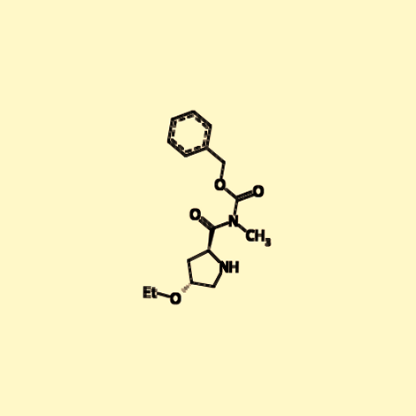 CCO[C@H]1CN[C@H](C(=O)N(C)C(=O)OCc2ccccc2)C1